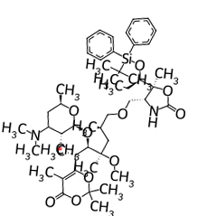 CC[C@@H](O[Si](c1ccccc1)(c1ccccc1)C(C)(C)C)[C@@]1(C)OC(=O)N[C@@H]1COC[C@H](C)C[C@@](C)(OC)[C@H](O[C@@H]1O[C@H](C)CC(N(C)C)[C@H]1C)[C@@H](C)C1=C(C)C(=O)OC(C)(C)O1